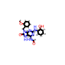 COc1ccccc1Cn1c(=O)[nH]c2c(N[C]=O)nc(Nc3ccccc3O)nc21